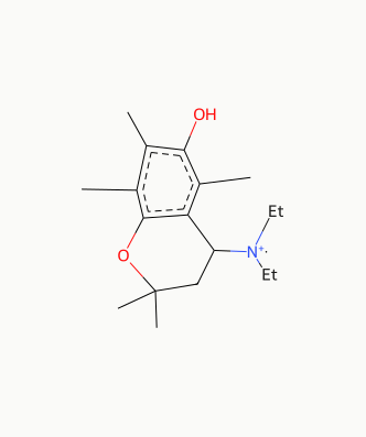 CC[N+](CC)C1CC(C)(C)Oc2c(C)c(C)c(O)c(C)c21